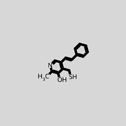 Cc1ncc(/C=C/c2ccccc2)c(CS)c1O